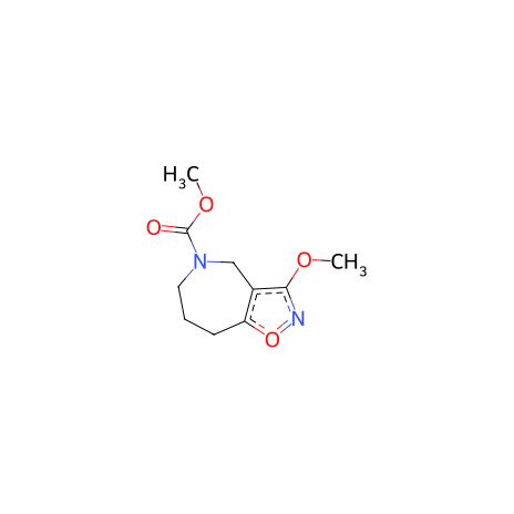 COC(=O)N1CCCc2onc(OC)c2C1